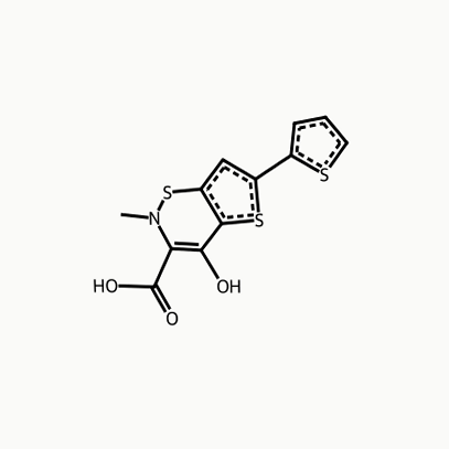 CN1Sc2cc(-c3cccs3)sc2C(O)=C1C(=O)O